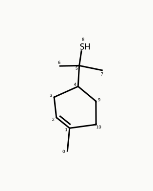 CC1=CCC(C(C)(C)S)CC1